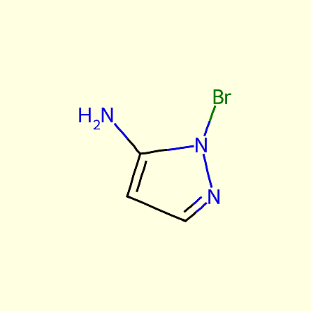 Nc1ccnn1Br